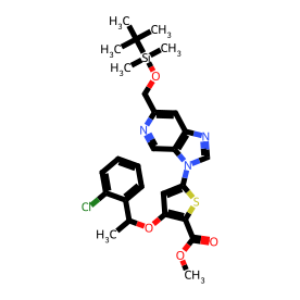 COC(=O)c1sc(-n2cnc3cc(CO[Si](C)(C)C(C)(C)C)ncc32)cc1OC(C)c1ccccc1Cl